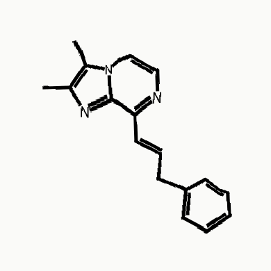 Cc1nc2c(/C=C/Cc3ccccc3)nccn2c1C